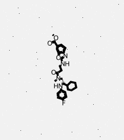 COC(=O)c1ccc2nc(NCCC(=O)N(C)C[C@@H](Nc3ccc(F)cc3)C3CCCCC3)oc2c1